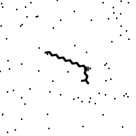 CCCCCCCCCCCC[C@H](C)CCC(C)C